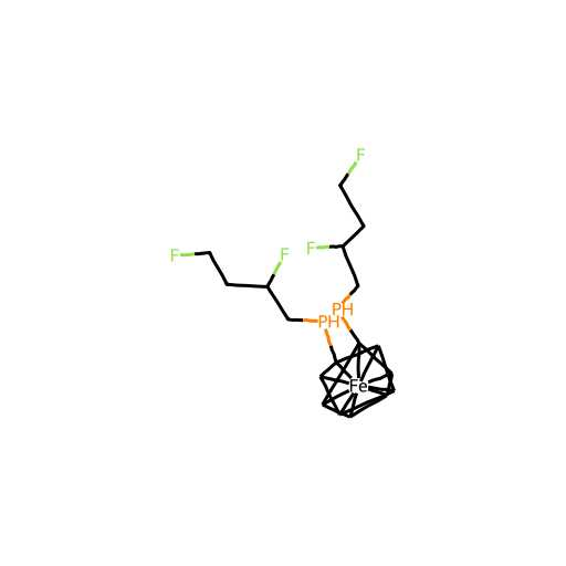 FCCC(F)CP[C]12[CH]3[CH]4[CH]5[CH]1[Fe]45321678[CH]2[CH]1[CH]6[C]7(PCC(F)CCF)[CH]28